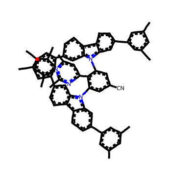 Cc1cc(C)cc(-c2ccc3c4ccc(-c5cc(C)cc(C)c5)cc4n(-c4cc(C#N)cc(-n5c6cc(-c7cc(C)cc(C)c7)ccc6c6ccc(-c7cc(C)cc(C)c7)cc65)c4-c4cc(C)nc(C)n4)c3c2)c1